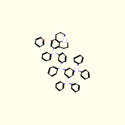 c1ccc(Oc2cc(N(c3ccccc3)c3cccc(N(c4ccccc4)c4cc(N(c5ccccc5)c5ccccc5)cc(N(c5ccccc5)c5ccccc5)c4)c3)c3c4c2CCCN4CCC3)cc1